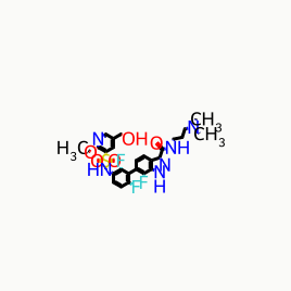 COc1ncc(CO)cc1S(=O)(=O)Nc1ccc(F)c(-c2ccc3c(C(=O)NCCCN(C)C)n[nH]c3c2F)c1F